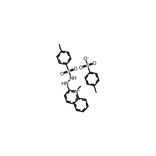 Cc1ccc(S(=O)(=O)NNc2ccc3ccccc3[n+]2C)cc1.Cc1ccc(S(=O)(=O)[O-])cc1